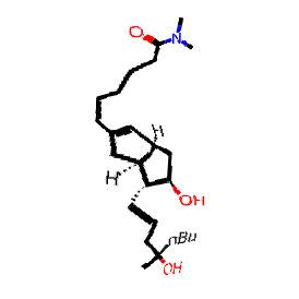 CCCC[C@](C)(O)C/C=C/[C@@H]1[C@H]2CC(/C=C\CCCC(=O)N(C)C)=C[C@H]2C[C@H]1O